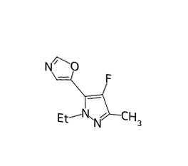 CCn1nc(C)c(F)c1-c1cnco1